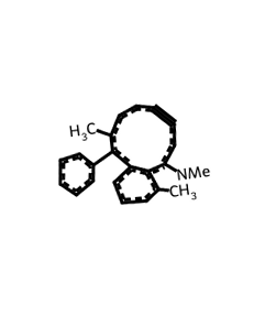 CNc1cc#cccc(C)c(-c2ccccc2)c2cccc(C)c12